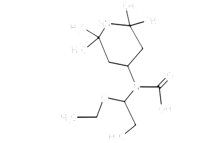 CCOC(CC)N(C(=O)O)C1CC(C)(C)NC(C)(C)C1